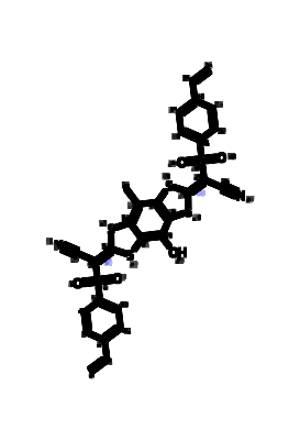 C=Cc1ccc(S(=O)(=O)/C(C#N)=C2/Sc3c(C)c4c(c(O)c3S2)S/C(=C(\C#N)S(=O)(=O)c2ccc(C=C)cc2)S4)cc1